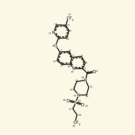 O=C(c1ccc2cc(Oc3ccc(C(F)(F)F)cn3)ccc2n1)N1CCN(S(=O)(=O)CCC(F)(F)F)CC1